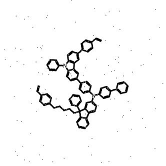 C=Cc1ccc(CCCCCC2(c3ccccc3)c3ccccc3-c3ccc(N(c4ccc(-c5ccccc5)cc4)c4ccc(-c5ccc6c(c5)c5cc(-c7ccc(C=C)cc7)ccc5n6-c5ccccc5)cc4)cc32)cc1